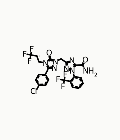 NC(=O)c1nc(Cn2nc(-c3ccc(Cl)cc3)n(C[CH]C(F)(F)F)c2=O)nn1-c1ccccc1C(F)(F)F